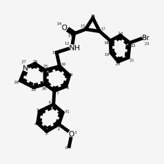 COc1cccc(-c2ccc(CNC(=O)C3CC3c3cccc(Br)c3)c3cnccc23)c1